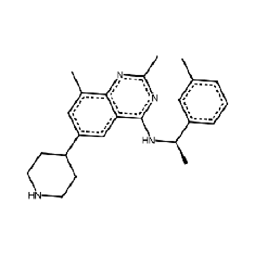 Cc1cccc([C@@H](C)Nc2nc(C)nc3c(C)cc(C4CCNCC4)cc23)c1